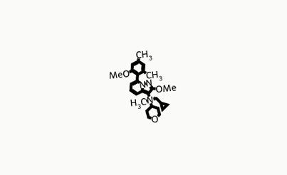 COc1cc(C)cc(C)c1-c1cccc2c([N+](C)(CC3CC3)C3CCOCC3)c(OC)nn12